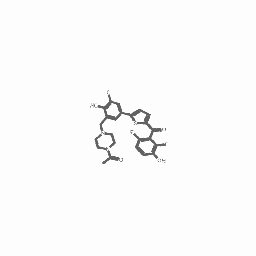 CC(=O)N1CCN(Cc2cc(-c3ccc(C(=O)c4c(F)ccc(O)c4F)s3)cc(Cl)c2O)CC1